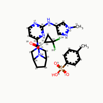 Cc1ccc(S(=O)(=O)O)cc1.Cn1cc(Nc2nccc(N3CC4CCC(C3)N4C(=O)[C@@H]3CC3(F)F)n2)cn1